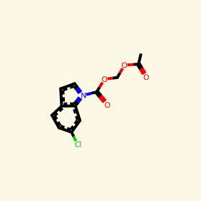 CC(=O)OCOC(=O)n1ccc2ccc(Cl)cc21